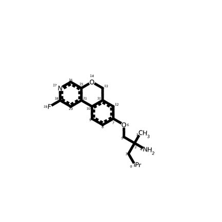 CC(C)CC(C)(N)COc1ccc2c(c1)COc1cnc(F)cc1-2